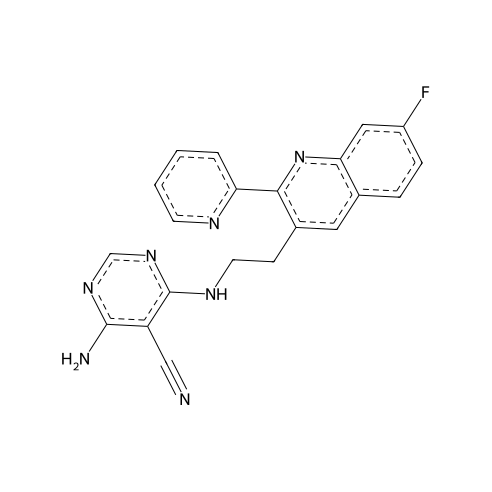 N#Cc1c(N)ncnc1NCCc1cc2ccc(F)cc2nc1-c1ccccn1